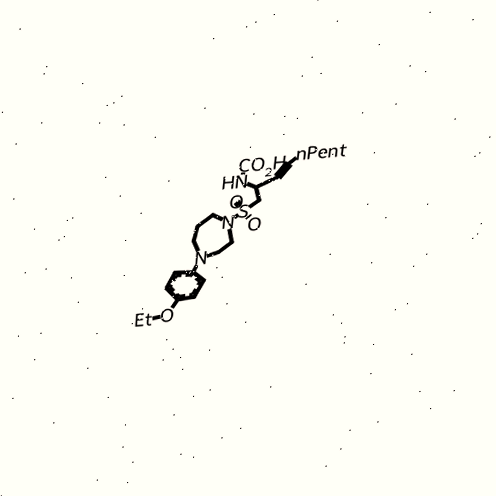 CCCCCC#CC(CS(=O)(=O)N1CCCN(c2ccc(OCC)cc2)CC1)NC(=O)O